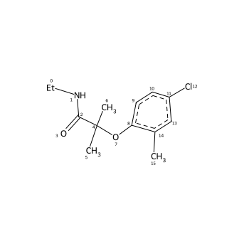 CCNC(=O)C(C)(C)Oc1ccc(Cl)cc1C